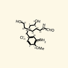 COc1ccc(C[N+](CCO)(CCO)CCCNC=O)cc1N.[Cl-]